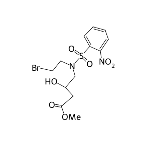 COC(=O)CC(O)CN(CCBr)S(=O)(=O)c1ccccc1[N+](=O)[O-]